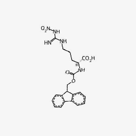 N=C(NCCC[C@@H](NC(=O)OCC1c2ccccc2-c2ccccc21)C(=O)O)N[N+](=O)[O-]